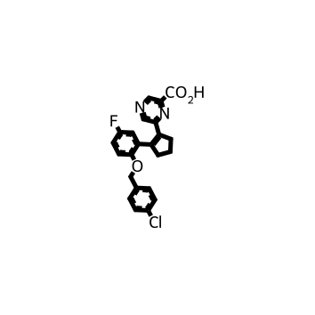 O=C(O)c1cncc(C2=C(c3cc(F)ccc3OCc3ccc(Cl)cc3)CCC2)n1